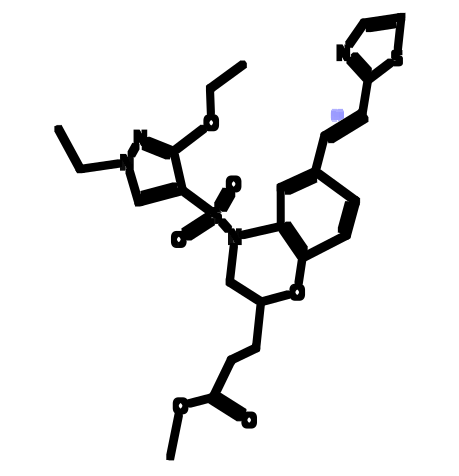 CCOc1nn(CC)cc1S(=O)(=O)N1CC(CCC(=O)OC)Oc2ccc(/C=C/c3nccs3)cc21